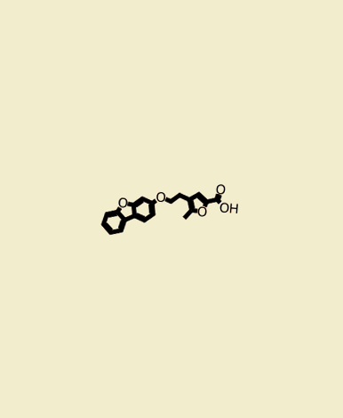 Cc1oc(C(=O)O)cc1CCOc1ccc2c(c1)oc1ccccc12